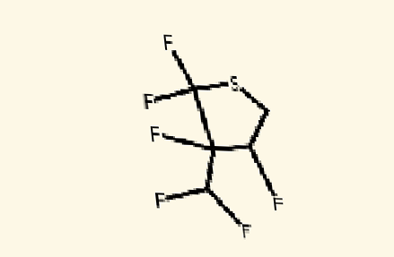 FC(F)C1(F)C(F)CSC1(F)F